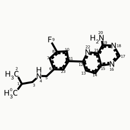 CC(C)CNCc1cc(F)cc(-c2ccc3ncnc(N)c3n2)c1